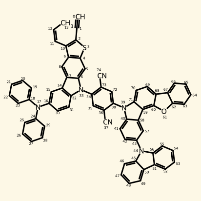 C#Cc1sc2cc3c(cc2c1/C=C\C)c1cc(N(c2ccccc2)c2ccccc2)ccc1n3-c1cc(C#N)c(-n2c3ccc(-n4c5ccccc5c5ccccc54)cc3c3c4oc5ccccc5c4ccc32)cc1C#N